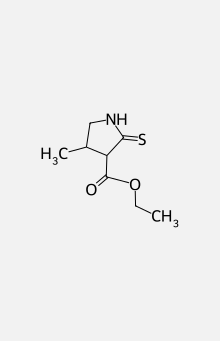 CCOC(=O)C1C(=S)NCC1C